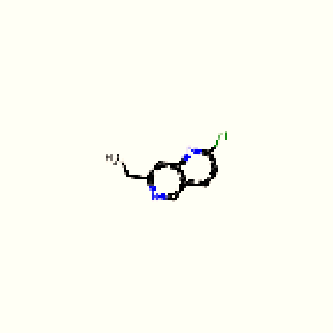 CCc1cc2nc(Cl)ccc2cn1